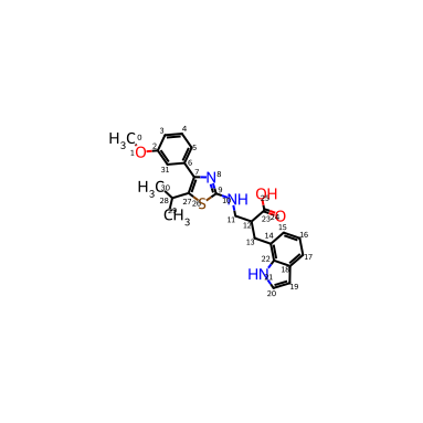 COc1cccc(-c2nc(NCC(Cc3cccc4cc[nH]c34)C(=O)O)sc2C(C)C)c1